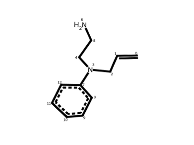 C=CCN(CCN)c1ccccc1